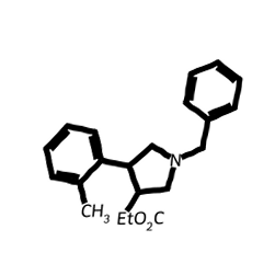 CCOC(=O)C1CN(Cc2ccccc2)CC1c1ccccc1C